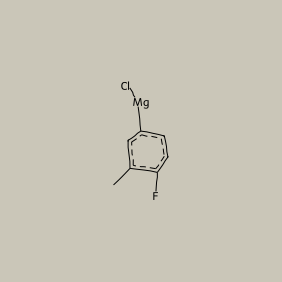 Cc1c[c]([Mg][Cl])ccc1F